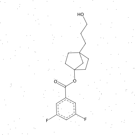 O=C(OC12CCC(CCCO)(CC1)C2)c1cc(F)cc(F)c1